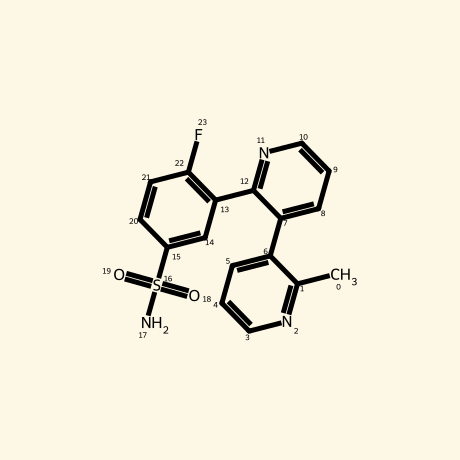 Cc1ncccc1-c1cccnc1-c1cc(S(N)(=O)=O)ccc1F